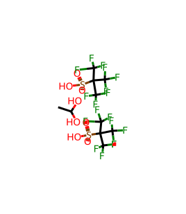 CC(O)O.O=S(=O)(O)C(C(F)(F)F)(C(F)(F)F)C(F)(F)F.O=S(=O)(O)C(C(F)(F)F)(C(F)(F)F)C(F)(F)F